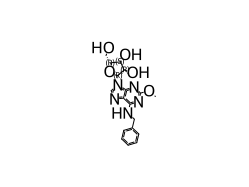 COc1nc(NCc2ccccc2)c2ncn([C@@H]3O[C@H](CO)[C@@H](O)[C@H]3O)c2n1